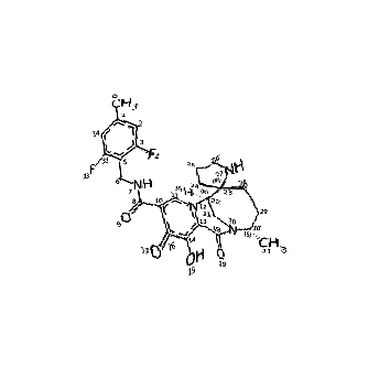 Cc1cc(F)c(CNC(=O)c2cn3c(c(O)c2=O)C(=O)N2C[C@@H]3[C@@]3(CCCN3)CC[C@@H]2C)c(F)c1